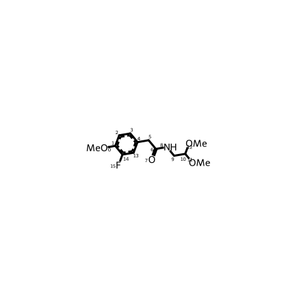 COc1ccc(CC(=O)NCC(OC)OC)cc1F